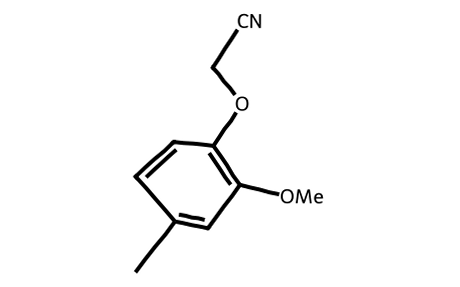 COc1cc(C)ccc1OCC#N